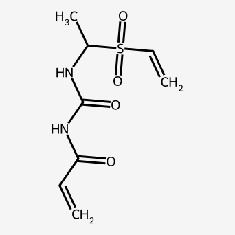 C=CC(=O)NC(=O)NC(C)S(=O)(=O)C=C